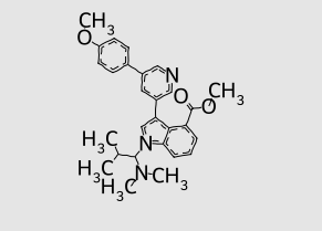 COC(=O)c1cccc2c1c(-c1cncc(-c3ccc(OC)cc3)c1)cn2C(C(C)C)N(C)C